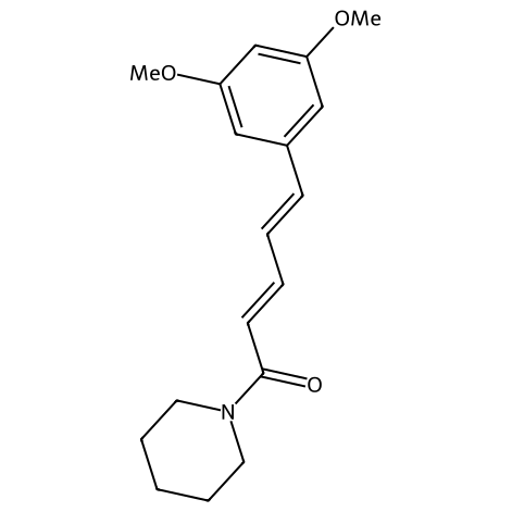 COc1cc(C=CC=CC(=O)N2CCCCC2)cc(OC)c1